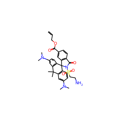 C=CCOC(=O)c1ccc2c(c1)C1(c3ccc(N(C)C)cc3C(C)(C)c3cc(N(C)C)ccc31)N(S(=O)(=O)CCN)C2=O